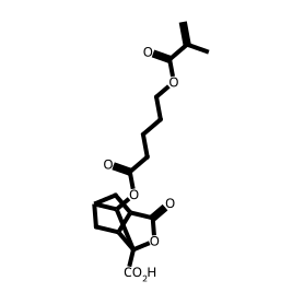 C=C(C)C(=O)OCCCCC(=O)OC1C2CC3C(=O)OC1(C(=O)O)C3C2